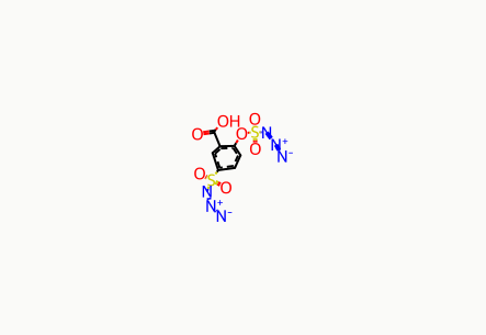 [N-]=[N+]=NS(=O)(=O)Oc1ccc(S(=O)(=O)N=[N+]=[N-])cc1C(=O)O